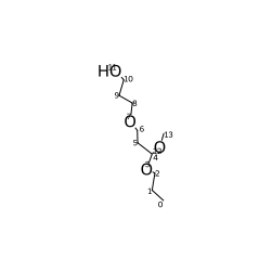 CCCOC(CCOCCCO)OC